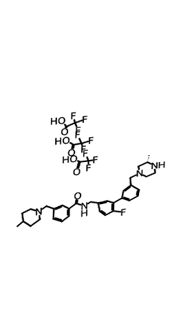 CC1CCN(Cc2cccc(C(=O)NCc3ccc(F)c(-c4cccc(CN5CCN[C@@H](C)C5)c4)c3)c2)CC1.O=C(O)C(F)(F)F.O=C(O)C(F)(F)F.O=C(O)C(F)(F)F